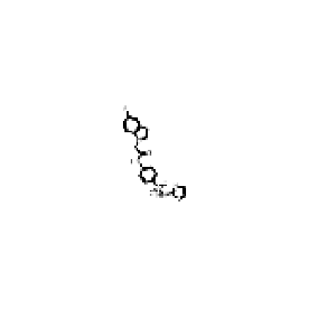 O=C(Cn1ccc2cc(F)ccc21)Nc1ccc(S(=O)(=O)Nc2nccs2)cc1